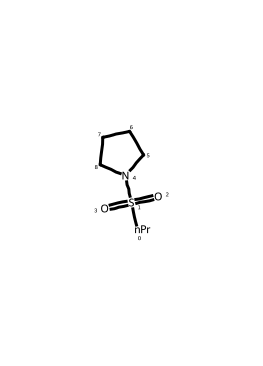 [CH2]CCS(=O)(=O)N1CCCC1